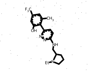 CCN1CCCC1CNc1ccc(-c2c(C)cc(C(F)(F)F)cc2O)nn1